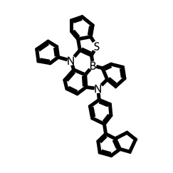 c1ccc(N2c3cccc4c3B(c3ccccc3N4c3ccc(-c4cccc5c4CCC5)cc3)c3sc4ccccc4c32)cc1